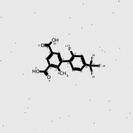 Cc1c(C(=O)O)cc(C(=O)O)cc1-c1ccc(C(F)(F)F)cc1F